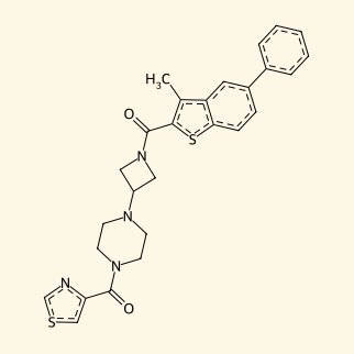 Cc1c(C(=O)N2CC(N3CCN(C(=O)c4cscn4)CC3)C2)sc2ccc(-c3ccccc3)cc12